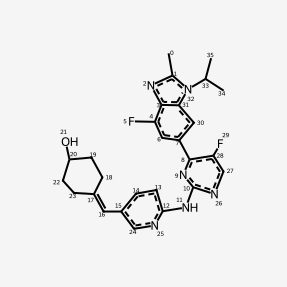 Cc1nc2c(F)cc(-c3nc(Nc4ccc(C=C5CCC(O)CC5)cn4)ncc3F)cc2n1C(C)C